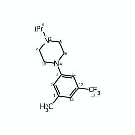 Cc1cc(N2CCN(C(C)C)CC2)cc(C(F)(F)F)c1